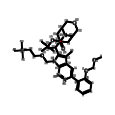 COCOc1ccccc1-c1cc2c(C)c(C(C)N3CC4COCC(C3)N4C(=O)OC(C)(C)C)n(COCC[Si](C)(C)C)c2nn1